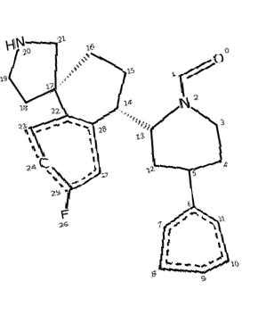 O=CN1CCC(c2ccccc2)CC1[C@H]1CC[C@@]2(CCNC2)c2ccc(F)cc21